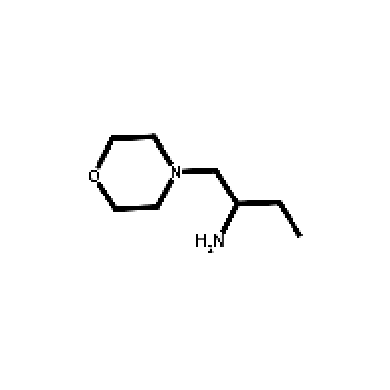 CCC(N)CN1CCOCC1